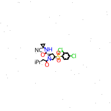 CC(C)CC(=O)N1C[C@H](S(=O)(=O)c2ccc(Cl)cc2Cl)C[C@H]1C(=O)NC1(C#N)CC1